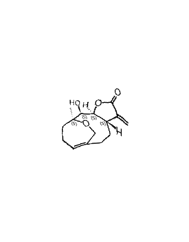 C=C1C(=O)O[C@H]2[C@H]1CCC1=CCC[C@](C)(OC1)[C@H]2O